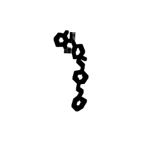 CCc1cccc(C)c1NC1=CCC(C)(/C=C/c2ccc(/C=C/c3ccccc3)cc2)C=C1